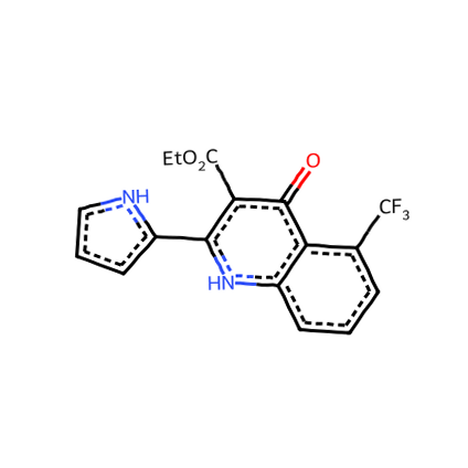 CCOC(=O)c1c(-c2ccc[nH]2)[nH]c2cccc(C(F)(F)F)c2c1=O